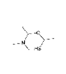 CC(S)OC(C)N(C)C